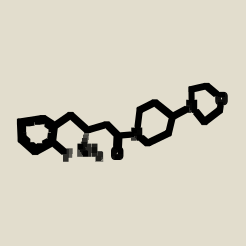 N[C@@H](CC(=O)N1CCC(N2CCOCC2)CC1)Cc1ccccc1F